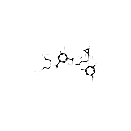 CCCN(CCC)C(=O)c1cc(C)cc(C(=O)N[C@@H](Cc2cc(F)cc(F)c2)[C@H](O)CNC2CC2)c1